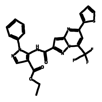 CCOC(=O)c1cnn(-c2ccccc2)c1NC(=O)c1cc2nc(-c3cccs3)cc(C(F)(F)F)n2n1